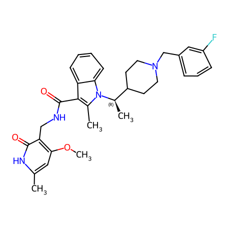 COc1cc(C)[nH]c(=O)c1CNC(=O)c1c(C)n([C@H](C)C2CCN(Cc3cccc(F)c3)CC2)c2ccccc12